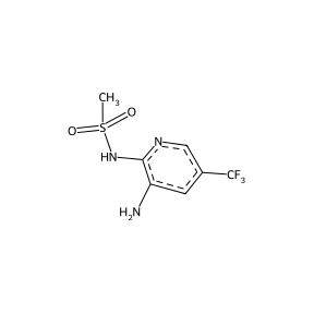 CS(=O)(=O)Nc1ncc(C(F)(F)F)cc1N